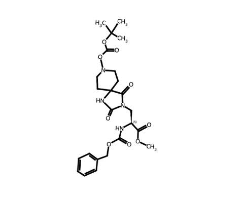 COC(=O)[C@H](CN1C(=O)NC2(CCN(OC(=O)OC(C)(C)C)CC2)C1=O)NC(=O)OCc1ccccc1